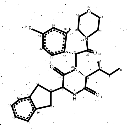 CC[C@H](C)[C@@H]1C(=O)NC(C2Cc3ccccc3C2)C(=O)N1[C@@H](C(=O)N1CCOCC1)c1ccc(F)cc1F